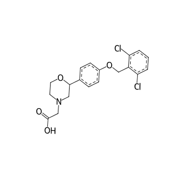 O=C(O)CN1CCOC(c2ccc(OCc3c(Cl)cccc3Cl)cc2)C1